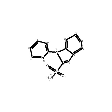 NS(=O)(=O)c1cc2ccccc2n1-c1ccccn1